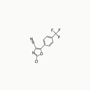 N#Cc1nc(Cl)oc1-c1ccc(C(F)(F)F)cc1